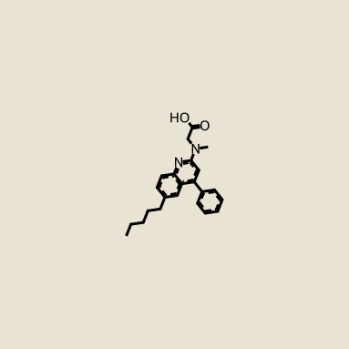 CCCCCc1ccc2nc(N(C)CC(=O)O)cc(-c3ccccc3)c2c1